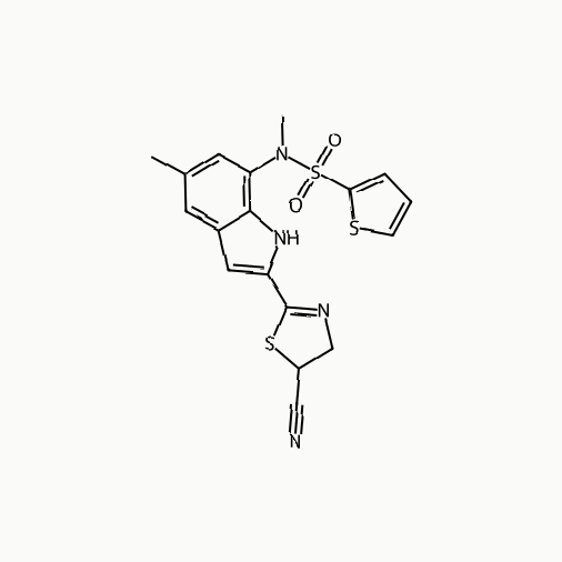 Cc1cc(N(C)S(=O)(=O)c2cccs2)c2[nH]c(C3=NCC(C#N)S3)cc2c1